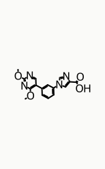 COc1ncc(-c2cccc(-n3cnc(C(=O)O)c3)c2)c(OC)n1